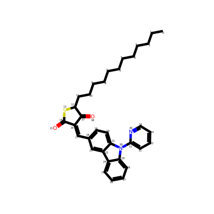 CCCCCCCCCCCCC1SC(=O)/C(=C/c2ccc3c(c2)c2ccccc2n3-c2ccccn2)C1=O